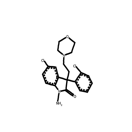 NN1C(=O)C(CCN2CCOCC2)(c2ccccc2Cl)c2cc(Cl)ccc21